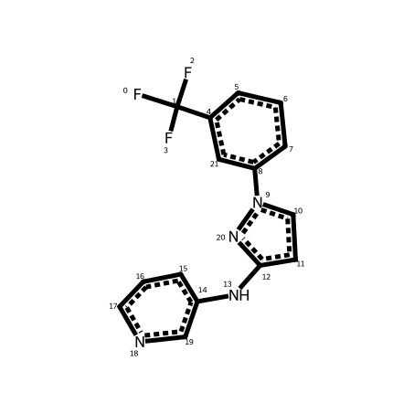 FC(F)(F)c1cccc(-n2ccc(Nc3cccnc3)n2)c1